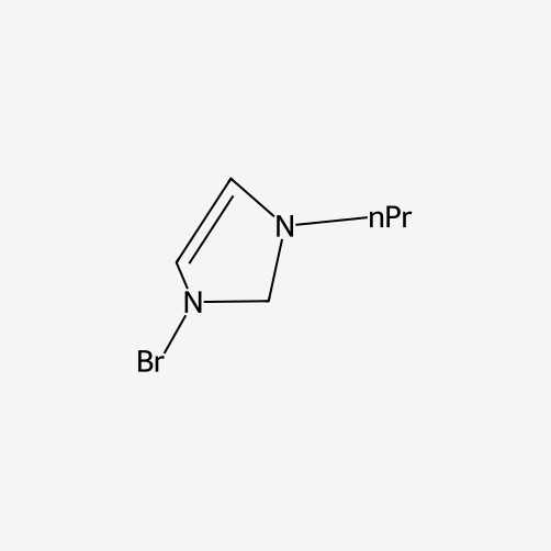 CCCN1C=CN(Br)C1